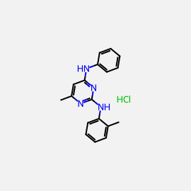 Cc1cc(Nc2ccccc2)nc(Nc2ccccc2C)n1.Cl